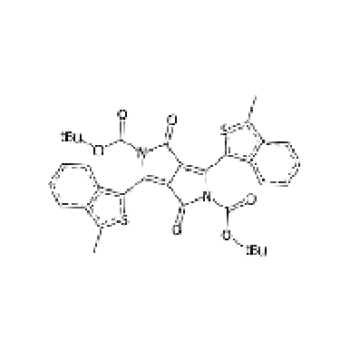 Cc1sc(C2=C3C(=O)N(C(=O)OC(C)(C)C)C(c4sc(C)c5ccccc45)=C3C(=O)N2C(=O)OC(C)(C)C)c2ccccc12